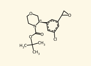 CC(C)(C)OC(=O)N1CCOC[C@H]1c1cc(Cl)cc(C2CO2)c1